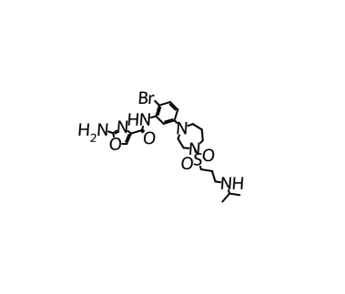 CC(C)NCCCS(=O)(=O)N1CCCN(c2ccc(Br)c(NC(=O)c3coc(N)n3)c2)CC1